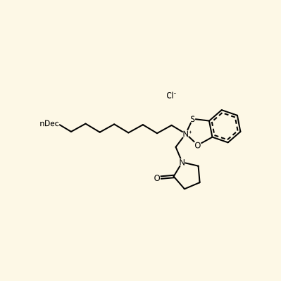 CCCCCCCCCCCCCCCCCC[N+]1(CN2CCCC2=O)Oc2ccccc2S1.[Cl-]